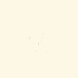 O=[Te+][Bi]=[O].[O]=[Pb]